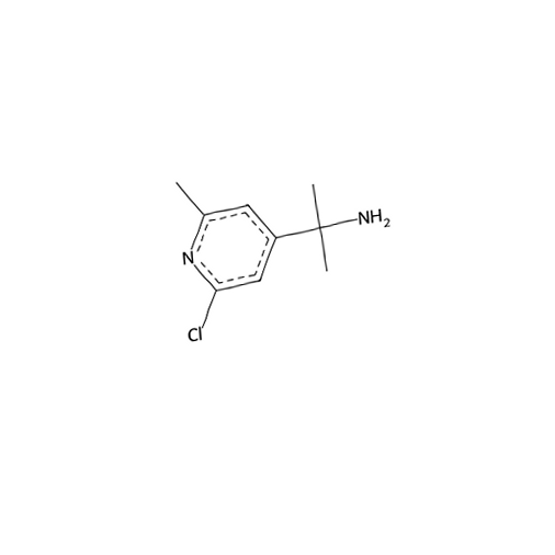 Cc1cc(C(C)(C)N)cc(Cl)n1